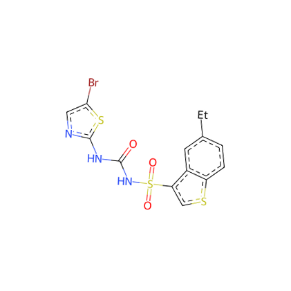 CCc1ccc2scc(S(=O)(=O)NC(=O)Nc3ncc(Br)s3)c2c1